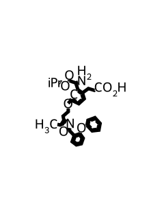 Cc1oc(-c2ccccc2Oc2ccccc2)nc1CCOc1ccc(CCC(=O)O)c(C(N)C(=O)OC(C)C)c1